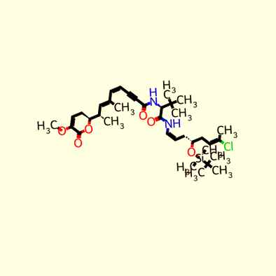 COC1=CC[C@@H]([C@@H](C)/C=C(C)/C=C\C#CC(=O)N[C@H](C(=O)N/C=C\C[C@H](C/C=C(\C)Cl)O[Si](C)(C)C(C)(C)C)C(C)(C)C)OC1=O